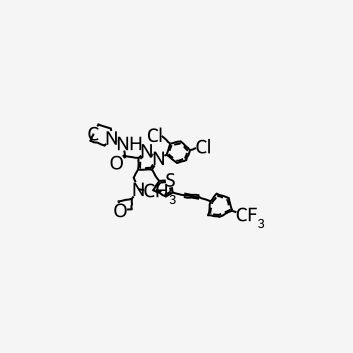 CN(Cc1c(C(=O)NN2CCCCC2)nn(-c2ccc(Cl)cc2Cl)c1-c1ccc(C#Cc2ccc(C(F)(F)F)cc2)s1)C1COC1